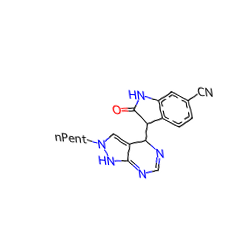 CCCCCN1C=C2C(=NC=NC2C2C(=O)Nc3cc(C#N)ccc32)N1